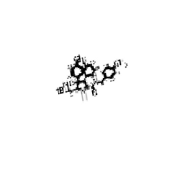 CC(C)(C)C[C@@H]1N[C@@H](C(=O)NCc2ccc(C(F)(F)F)cc2)[C@H](c2cccc(Cl)c2)[C@@]1(C#N)c1ccc(Cl)cc1